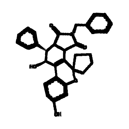 O=C1C2C3=C(c4ccc(O)cc4OC34CCCC4)[C@@H](O)[C@H](c3ccccc3)C2C(=O)N1Cc1ccccc1